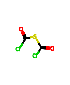 O=C(Cl)SC(=O)Cl